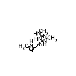 CNC1=NC(C)N=C(NCCc2ccc(C)[nH]2)N1